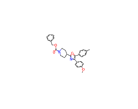 COc1ccc(-c2nc(C3CCN(C(=O)OCc4ccccc4)CC3)oc2-c2ccc(C)cc2)cc1